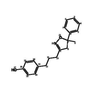 CC1(c2ccccc2)CC(CCCc2ccc(O)cc2)=NO1